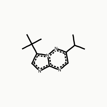 CC(C)c1cnc2ncc(C(C)(C)C)n2n1